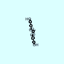 Cc1cc(OC(=O)c2ccc(-c3ccc(O)cc3)cc2)ccc1OC(=O)c1ccc(-c2ccc(O)cc2)cc1